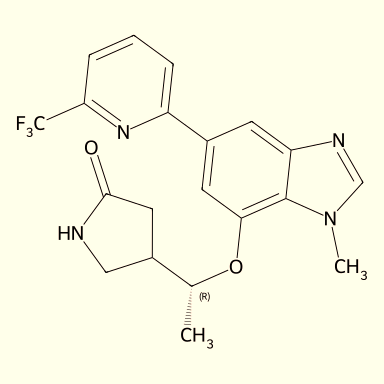 C[C@@H](Oc1cc(-c2cccc(C(F)(F)F)n2)cc2ncn(C)c12)C1CNC(=O)C1